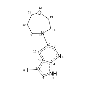 Ic1c[nH]c2ncc(N3CCCOCC3)cc12